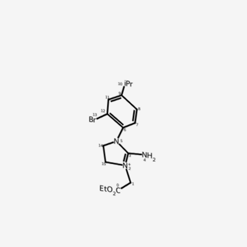 CCOC(=O)C[N+]1=C(N)N(c2ccc(C(C)C)cc2Br)CC1